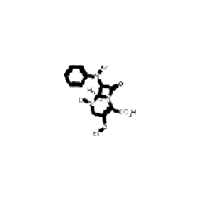 CCSC1=C(C(=O)O)N2C(=O)C(N(C(C)=O)c3ccccc3)[C@@H]2[S+]([O-])C1